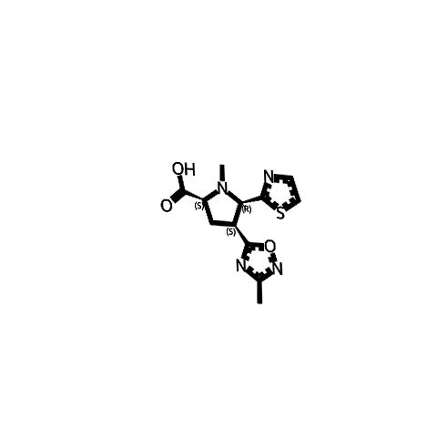 Cc1noc([C@H]2C[C@@H](C(=O)O)N(C)[C@H]2c2nccs2)n1